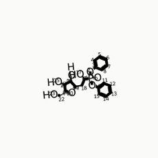 O=P(Oc1ccccc1)(Oc1ccccc1)[C@H](O)C[C@H]1O[C@H](CO)[C@@H](O)[C@@H]1O